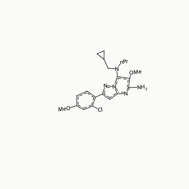 CCCN(CC1CC1)c1c(OC)c(N)nc2cc(-c3ccc(OC)cc3Cl)nn12